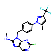 CNc1nc2cnc(Cl)nc2n1Cc1ccc(-n2nc(C(F)(F)F)cc2C)cc1